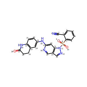 N#Cc1ccccc1S(=O)(=O)n1ncc2cnc(Nc3ccc4c(c3)CCC(=O)N4)cc21